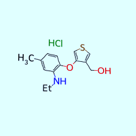 CCNc1cc(C)ccc1Oc1cscc1CO.Cl